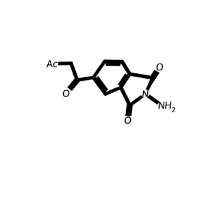 CC(=O)CC(=O)c1ccc2c(c1)C(=O)N(N)C2=O